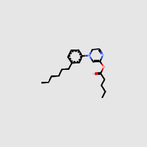 CCCCCCc1cccc(N2C=C(OC(=O)CCCC)N=CC2)c1